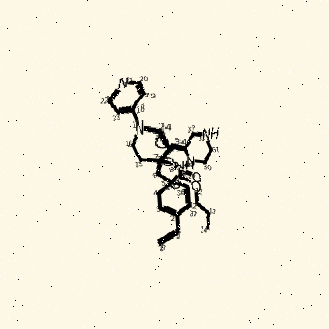 C=CC1=CCC(CC2(NC(=O)OCCC)CCN(c3ccncc3)CC2)(S(=O)(=O)N2CCNCC2=O)C=C1